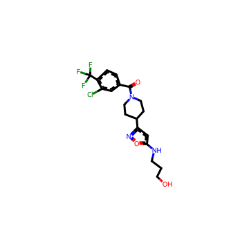 O=C(c1ccc(C(F)(F)F)c(Cl)c1)N1CCC(c2cc(NCCCO)on2)CC1